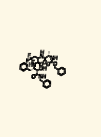 C[C@H](NC(=O)OCc1ccccc1)C(=O)NC(CC(F)(F)F)C(=O)N[C@@H](Cc1ccccc1)C(O)C(=O)NCc1ccccc1